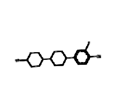 CCCC1CCC(C2CCC(c3ccc(C#N)c(F)c3)CC2)CC1